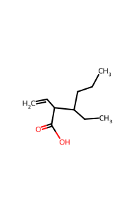 C=CC(C(=O)O)C(CC)CCC